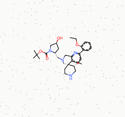 CCOc1ccccc1-c1ccc2c(n1)CN(C[C@H]1C[C@H](O)CN1C(=O)OC(C)(C)C)C[C@]21CCNC[C@H]1CC